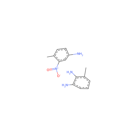 Cc1ccc(N)cc1[N+](=O)[O-].Cc1cccc(N)c1N